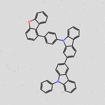 c1ccc(-n2c3ccccc3c3cc(-c4ccc5c6ccccc6n(-c6ccc(-c7cccc8oc9ccccc9c78)cc6)c5c4)ccc32)cc1